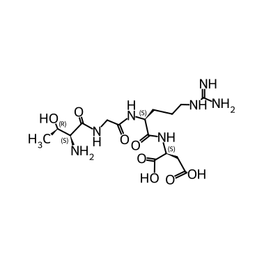 C[C@@H](O)[C@H](N)C(=O)NCC(=O)N[C@@H](CCCNC(=N)N)C(=O)N[C@@H](CC(=O)O)C(=O)O